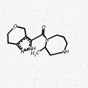 CC1CNCCCN1C(=O)c1[nH]nc2c1COCC2